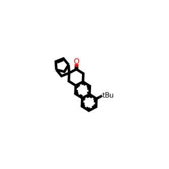 CC(C)(C)c1cccc2cc3c(cc12)CC(=O)C1(C3)CC2C=CC1C2